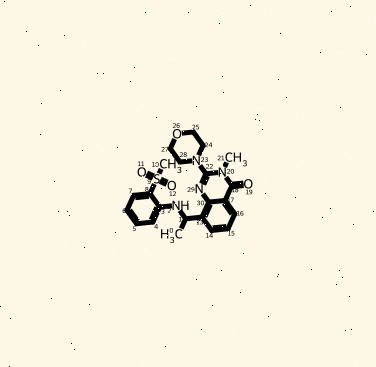 CC(Nc1ccccc1S(C)(=O)=O)c1cccc2c(=O)n(C)c(N3CCOCC3)nc12